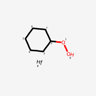 OOC1CCCCC1.[Hf]